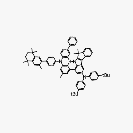 Cc1cc2c3c(c1)N(c1ccc(-c4cc5c(cc4C)C(C)(C)CCC5(C)C)cc1)c1ccc(-c4ccccc4)cc1B3n1c3c(c4cc(N(c5ccc(C(C)(C)C)cc5)c5ccc(C(C)(C)C)cc5)cc-2c41)-c1ccccc1C3(C)C